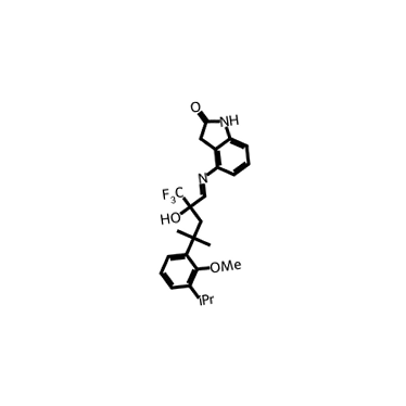 COc1c(C(C)C)cccc1C(C)(C)CC(O)(/C=N/c1cccc2c1CC(=O)N2)C(F)(F)F